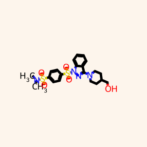 CN(C)S(=O)(=O)c1ccc(S(=O)(=O)n2nc(N3CCC(CO)CC3)c3ccccc32)cc1